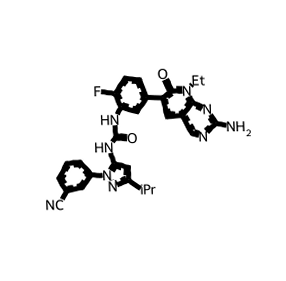 CCn1c(=O)c(-c2ccc(F)c(NC(=O)Nc3cc(C(C)C)nn3-c3cccc(C#N)c3)c2)cc2cnc(N)nc21